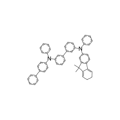 CC1(C)C2=CCCC=C2c2ccc(N(c3ccccc3)c3cccc(-c4cccc(N(c5ccccc5)c5ccc(-c6ccccc6)cc5)c4)c3)cc21